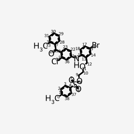 Cc1ccc(S(=O)(=O)OCCOCc2cc(Br)ccc2Nc2ccc(C(=O)c3ccccc3C)c(Cl)c2)cc1